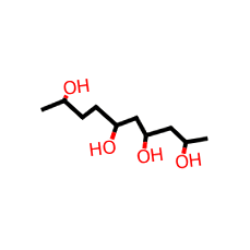 CC(O)CCC(O)CC(O)CC(C)O